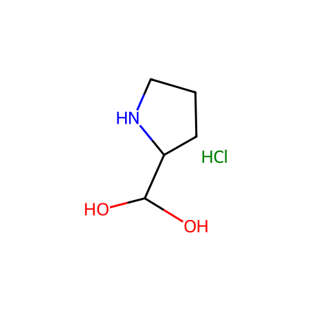 Cl.OC(O)C1CCCN1